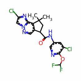 CC1(C)CC(C(=O)Nc2cnc(OC(F)F)c(Cl)c2)c2cnn3cc(Cl)nc3c21